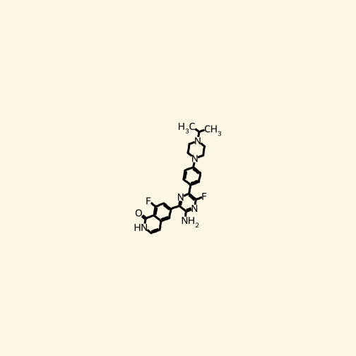 CC(C)N1CCN(c2ccc(-c3nc(-c4cc(F)c5c(=O)[nH]ccc5c4)c(N)nc3F)cc2)CC1